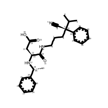 CC(C)[C@@](C#N)(CCCNC(=O)[C@H](CC(=O)O)N[C@H](C)c1ccccc1)c1ccccc1